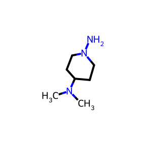 CN(C)C1CCN(N)CC1